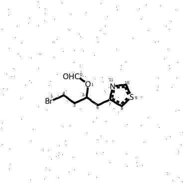 O=COC(CCBr)Cc1cscn1